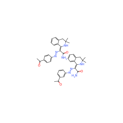 CC(=O)c1ccc(N=NC(C(N)=O)=C2NC(C)(C)Cc3ccccc32)cc1.CC(=O)c1cccc(N=NC(C(N)=O)=C2NC(C)(C)Cc3ccccc32)c1